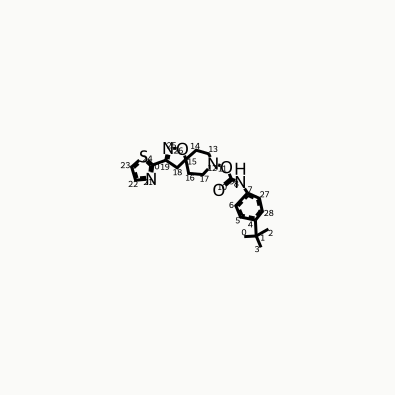 CC(C)(C)c1ccc(NC(=O)ON2CCC3(CC2)CC(c2nccs2)=NO3)cc1